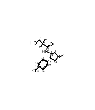 CN1C[C@H](NC(=O)C(C)(C)CO)[C@@H](c2ccc(Cl)cc2)C1